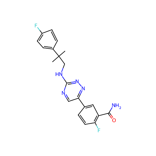 CC(C)(CNc1ncc(-c2ccc(F)c(C(N)=O)c2)nn1)c1ccc(F)cc1